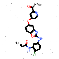 C=CC(=O)Nc1cc(Nc2nc3cc(Oc4ccnc(C(=O)NC)c4)ccc3o2)ccc1Cl